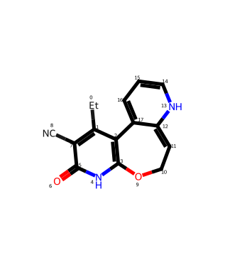 CCc1c2c([nH]c(=O)c1C#N)OCC=C1NC=CC=C12